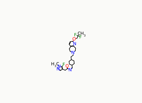 Cn1ncc(CC(=O)/N=C\C2CCC(CCN3CCc4ccc(OCC(C)(F)F)nc4CC3)CC2)c1F